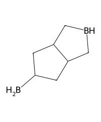 BC1CC2CBCC2C1